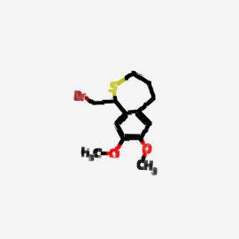 COc1cc2c(cc1OC)C(CBr)SCCC2